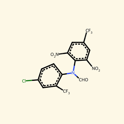 O=CN(c1ccc(Cl)cc1C(F)(F)F)c1c([N+](=O)[O-])cc(C(F)(F)F)cc1[N+](=O)[O-]